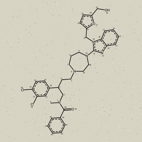 CN(CC(CCN1CCCN(c2nc3ccccc3n2Cc2ccc(CO)o2)CC1)c1ccc(Cl)c(Cl)c1)C(=O)c1ccccc1